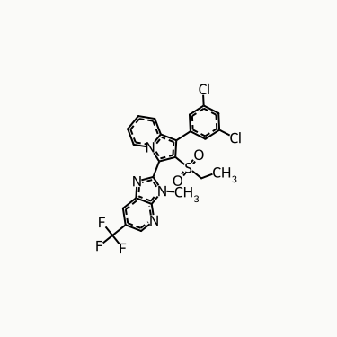 CCS(=O)(=O)c1c(-c2cc(Cl)cc(Cl)c2)c2ccccn2c1-c1nc2cc(C(F)(F)F)cnc2n1C